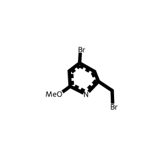 COc1cc(Br)cc(CBr)n1